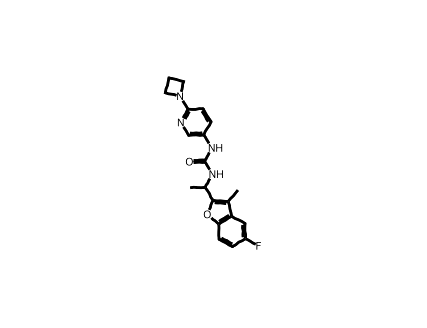 Cc1c(C(C)NC(=O)Nc2ccc(N3CCC3)nc2)oc2ccc(F)cc12